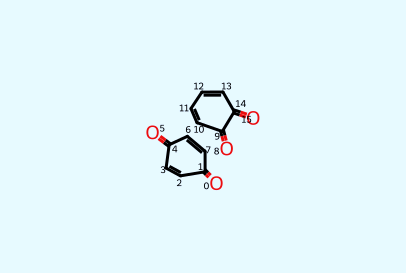 O=C1C=CC(=O)C=C1.O=C1C=CC=CC1=O